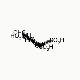 O=CCC[C@H](NC(=O)COCCOCCNC(=O)COCCOCCNC(=O)CC[C@H](NC(=O)CCCCCCCCCCCCC(=O)O)C(=O)O)C(=O)O